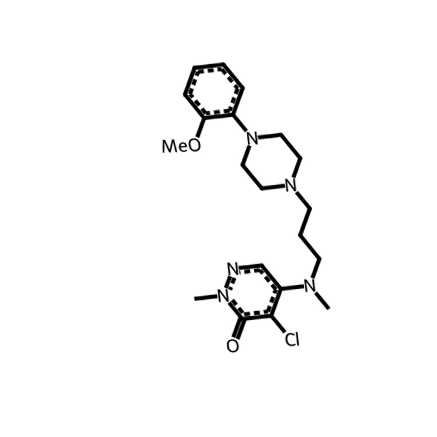 COc1ccccc1N1CCN(CCCN(C)c2cnn(C)c(=O)c2Cl)CC1